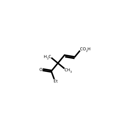 CCC(=O)C(C)(C)/C=C/C(=O)O